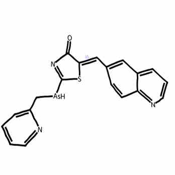 O=C1N=C([AsH]Cc2ccccn2)S/C1=C\c1ccc2ncccc2c1